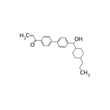 C=CC(=O)c1ccc(-c2ccc(C(O)C3CCC(CCC)CC3)cc2)cc1